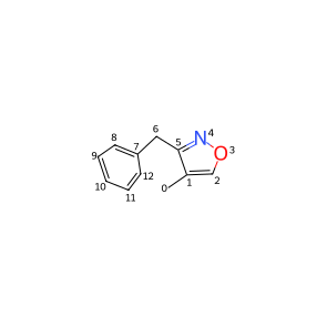 Cc1conc1Cc1ccccc1